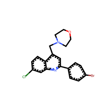 Clc1ccc2c(CN3CCOCC3)cc(-c3ccc(Br)cc3)nc2c1